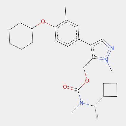 Cc1cc(-c2cnn(C)c2COC(=O)N(C)[C@@H](C)C2CCC2)ccc1OC1CCCCC1